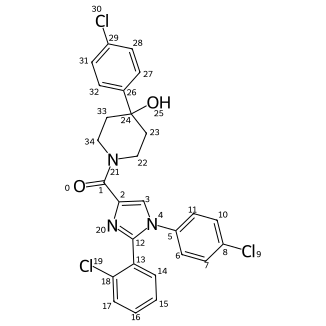 O=C(c1cn(-c2ccc(Cl)cc2)c(-c2ccccc2Cl)n1)N1CCC(O)(c2ccc(Cl)cc2)CC1